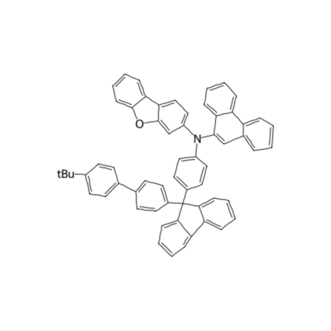 CC(C)(C)c1ccc(-c2ccc(C3(c4ccc(N(c5ccc6c(c5)oc5ccccc56)c5cc6ccccc6c6ccccc56)cc4)c4ccccc4-c4ccccc43)cc2)cc1